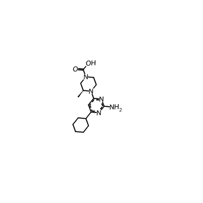 C[C@H]1CN(C(=O)O)CCN1c1cc(C2CCCCC2)nc(N)n1